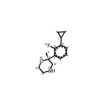 C[C@@]1(c2cccc(C3CC3)c2F)CNCCO1